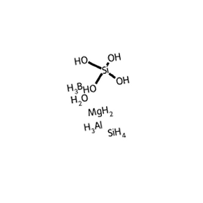 B.O.O[Si](O)(O)O.[AlH3].[MgH2].[SiH4]